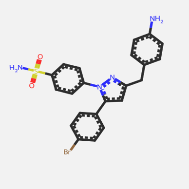 Nc1ccc(Cc2cc(-c3ccc(Br)cc3)n(-c3ccc(S(N)(=O)=O)cc3)n2)cc1